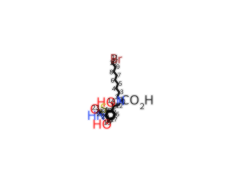 O=C(O)N(CCCCCCCCCBr)CC(O)c1ccc(O)c2[nH]c(=O)sc12